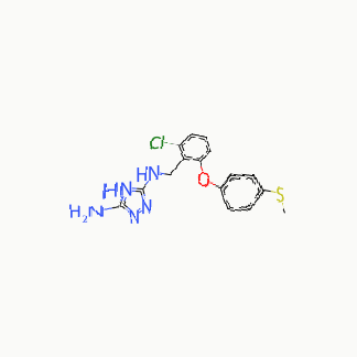 CSc1ccc(Oc2cccc(Cl)c2CNc2nnc(N)[nH]2)cc1